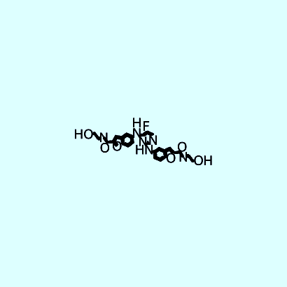 O=C(N=CCO)c1cc2cc(Nc3ncc(F)c(Nc4ccc5oc(C(=O)N=CCO)cc5c4)n3)ccc2o1